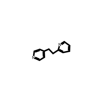 c1ccc(CCc2ccncc2)nc1